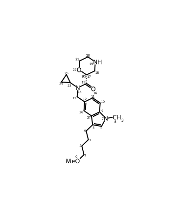 COCCCCc1cn(C)c2ccc(CN(C(=O)[C@H]3CNCCO3)C3CC3)cc12